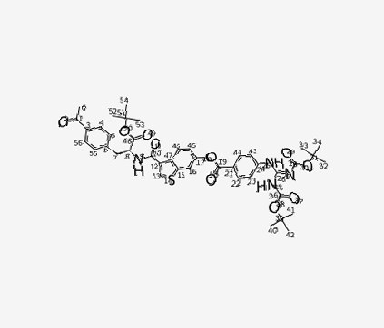 CC(=O)c1ccc(C[C@H](NC(=O)c2csc3cc(OC(=O)c4ccc(N/C(=N\C(=O)OC(C)(C)C)NC(=O)OC(C)(C)C)cc4)ccc23)C(=O)OC(C)(C)C)cc1